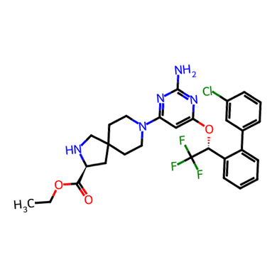 CCOC(=O)[C@@H]1CC2(CCN(c3cc(O[C@H](c4ccccc4-c4cccc(Cl)c4)C(F)(F)F)nc(N)n3)CC2)CN1